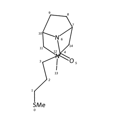 CSCCCC(=O)N1C2CCC1CN(I)C2